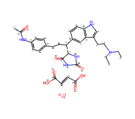 CCN(CC)CCc1c[nH]c2ccc(C(CCc3ccc(NC(C)=O)cc3)C3NC(=O)NC3=O)cc12.O.O=C(O)C=CC(=O)O